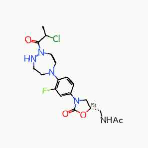 CC(=O)NC[C@H]1CN(c2ccc(N3CCNN(C(=O)C(C)Cl)CC3)c(F)c2)C(=O)O1